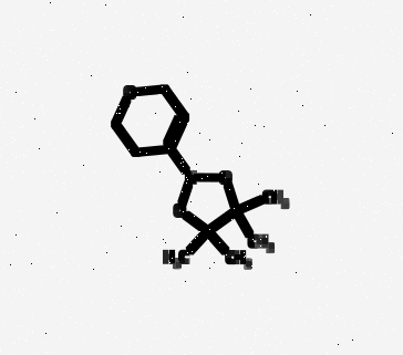 CC1(C)ON(C2=CCOCC2)OC1(C)C